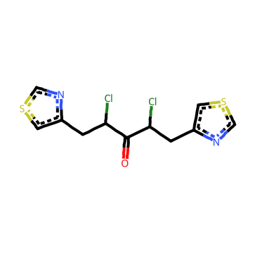 O=C(C(Cl)Cc1cscn1)C(Cl)Cc1cscn1